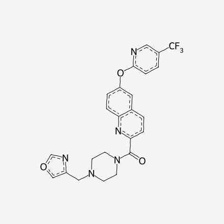 O=C(c1ccc2cc(Oc3ccc(C(F)(F)F)cn3)ccc2n1)N1CCN(Cc2cocn2)CC1